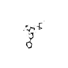 COC(=O)C1(Nc2nc3cc(-c4ccccc4)nn3c3c2ncn3C)CC1